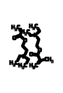 C=C(C)C(=O)OCCN(CC)CC.C=CC(=O)OCCN(CC)CC